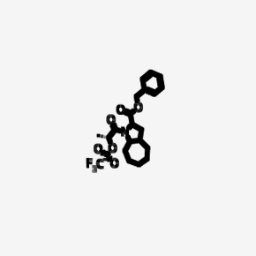 C[C@@H](OS(=O)(=O)C(F)(F)F)C(=O)N1C(C(=O)OCc2ccccc2)CC2CCCCCC21